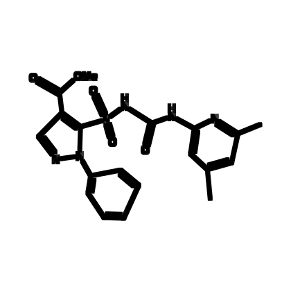 COC(=O)c1cnn(-c2ccccc2)c1S(=O)(=O)NC(=O)Nc1cc(C)cc(C)n1